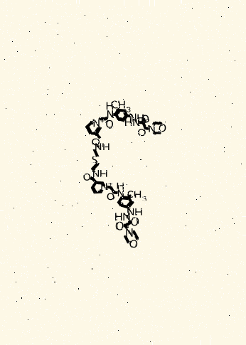 Cc1cc(NNC(=O)C(=O)N2CCOCC2)ccc1NC(=O)C[n+]1cccc(CONCCSCCNC(=O)c2ccc[n+](CC(=O)Nc3ccc(NNC(=O)C(=O)N4CCOCC4)cc3C)c2)c1